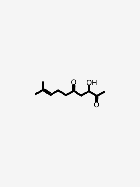 CC(=O)C(O)CC(=O)CCC=C(C)C